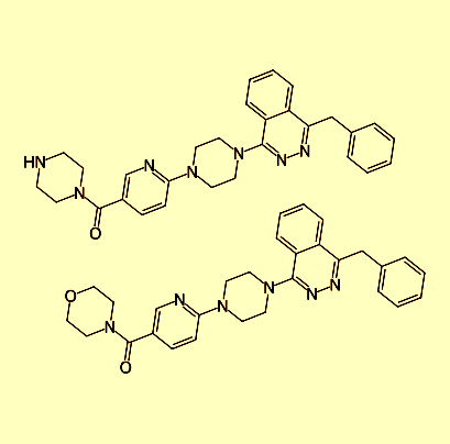 O=C(c1ccc(N2CCN(c3nnc(Cc4ccccc4)c4ccccc34)CC2)nc1)N1CCNCC1.O=C(c1ccc(N2CCN(c3nnc(Cc4ccccc4)c4ccccc34)CC2)nc1)N1CCOCC1